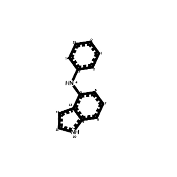 [c]1ccc(Nc2cccc3[nH]ccc23)cc1